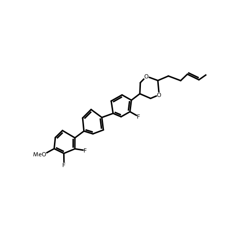 C/C=C/CCC1OCC(c2ccc(-c3ccc(-c4ccc(OC)c(F)c4F)cc3)cc2F)CO1